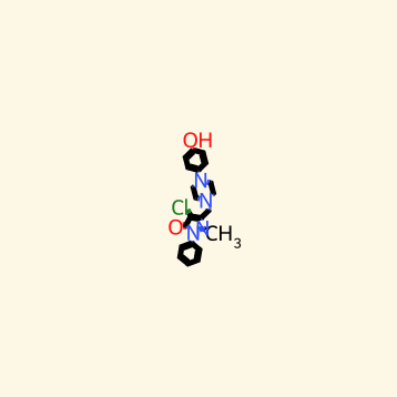 Cn1c(CN2CCN(c3ccc(O)cc3)CC2)c(Cl)c(=O)n1-c1ccccc1